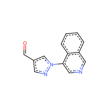 O=Cc1cnn(-c2cncc3ccccc23)c1